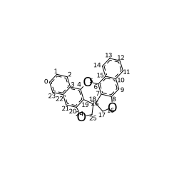 c1ccc2c(Oc3c4c(cc5ccccc35)OCC4)c3c(cc2c1)OCC3